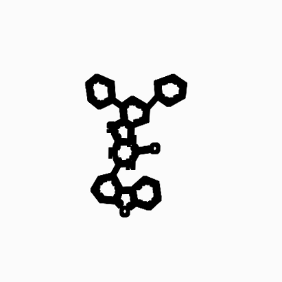 O=c1nc(-c2cccc3oc4ccccc4c23)nc2sc3c(-c4ccccc4)cc(-c4ccccc4)cc3n12